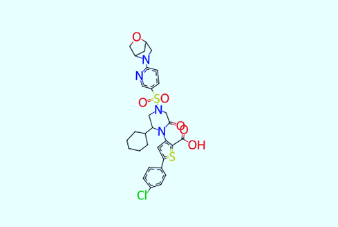 O=C(O)c1sc(-c2ccc(Cl)cc2)cc1N1C(=O)CN(S(=O)(=O)c2ccc(N3CC4CC3CO4)nc2)CC1C1CCCCC1